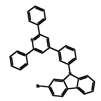 Brc1ccc2c3ccccc3n(-c3cccc(-c4cc(-c5ccccc5)nc(-c5ccccc5)c4)c3)c2c1